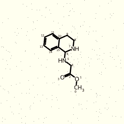 COC(=O)CNC1NCCc2ccccc21